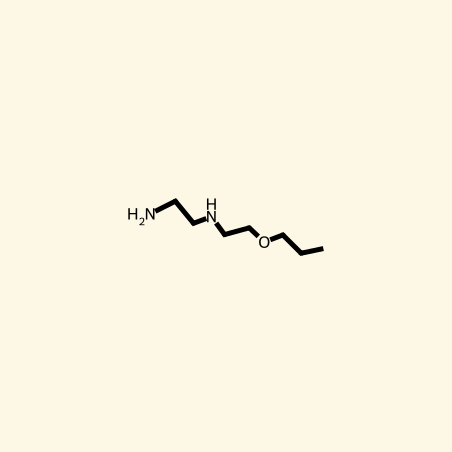 CCCOCCNCCN